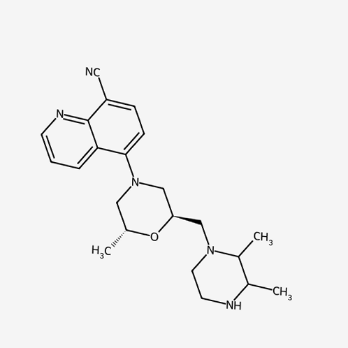 CC1NCCN(C[C@@H]2CN(c3ccc(C#N)c4ncccc34)C[C@@H](C)O2)C1C